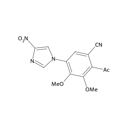 COc1c(-n2cnc([N+](=O)[O-])c2)cc(C#N)c(C(C)=O)c1OC